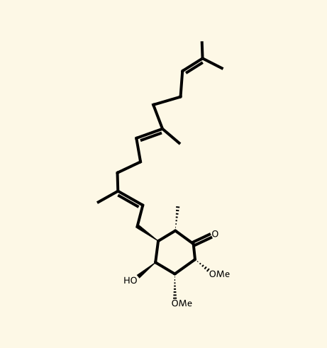 CO[C@@H]1[C@@H](O)[C@@H](C/C=C(\C)CC/C=C(\C)CCC=C(C)C)[C@H](C)C(=O)[C@@H]1OC